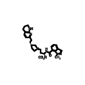 Cn1ncc2cccc(C(=O)N[C@@H](CCN3CC[C@H](CCc4ccc5c(n4)NCCC5)C3)C(=O)O)c21